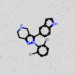 CCc1cccc(CC)c1-n1nc2c(c1-c1ccc3[nH]ccc3c1)CNCC2